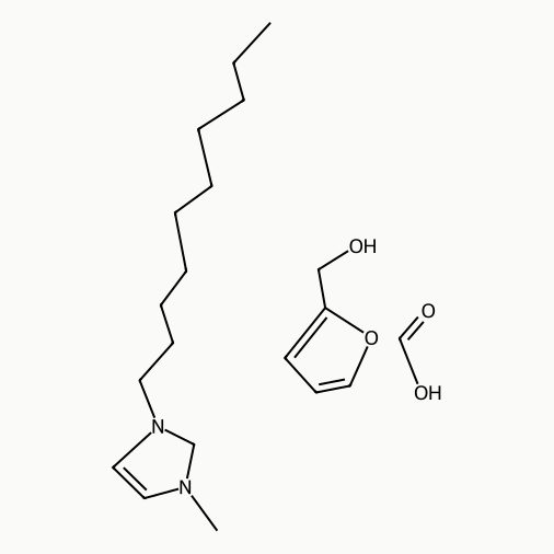 CCCCCCCCCCN1C=CN(C)C1.O=CO.OCc1ccco1